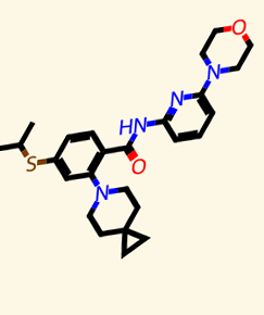 CC(C)Sc1ccc(C(=O)Nc2cccc(N3CCOCC3)n2)c(N2CCC3(CC2)CC3)c1